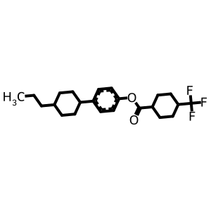 CCCC1CCC(c2ccc(OC(=O)C3CCC(C(F)(F)F)CC3)cc2)CC1